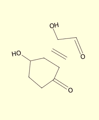 C=C.O=C1CCC(O)CC1.O=CCO